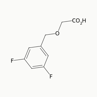 O=C(O)COCc1cc(F)cc(F)c1